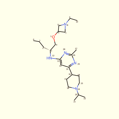 CCC[C@H](COC1CN(CC)C1)Nc1cc(C2CCN(C(C)C)CC2)nc(C)n1